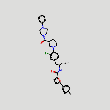 Cc1ccc(-c2ccc(C(=O)NC(Cc3ccc(N4CCCC(C(=O)N5CCN(c6ccccc6)CC5)C4)c(F)c3)C(=O)O)o2)cc1